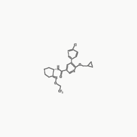 O=C(N[C@H]1CCCCC1=NOCC(F)(F)F)c1cnc(OCC2CC2)c(-c2ccc(Cl)cc2)c1